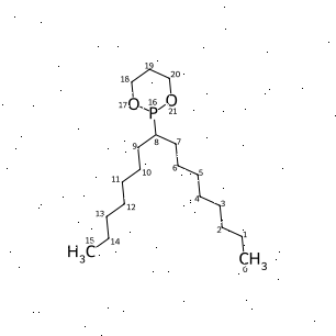 CCCCCCCCC(CCCCCCC)P1OCCCO1